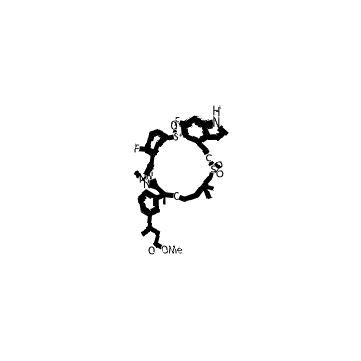 COC(=O)CC(C)c1cccc([C@@]2(C)CCCC(C)(C)CS(=O)(=O)CCc3c(c(F)cc4[nH]ccc34)[S+]([O-])c3ccc(F)c(c3)-c3nc2nn3C)c1